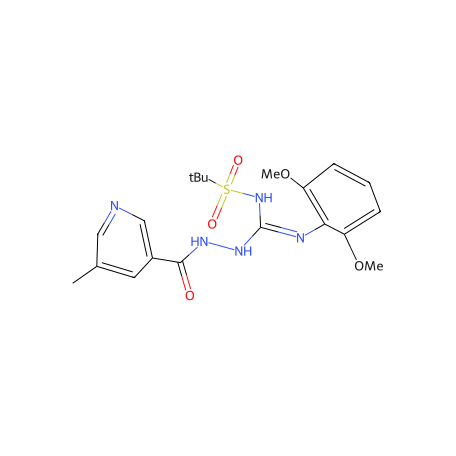 COc1cccc(OC)c1N=C(NNC(=O)c1cncc(C)c1)NS(=O)(=O)C(C)(C)C